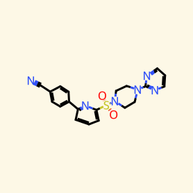 N#Cc1ccc(-c2cccc(S(=O)(=O)N3CCN(c4ncccn4)CC3)n2)cc1